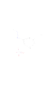 COc1cccc(NNCl)c1.O=P(O)(O)O